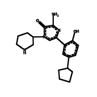 Nc1nc(-c2cc(C3CCCC3)ccc2O)cn(C2CCCNC2)c1=O